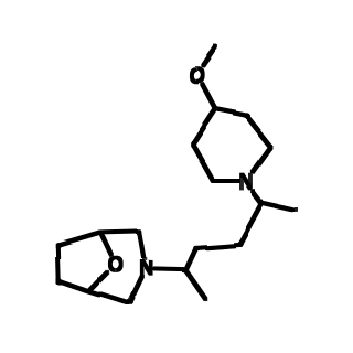 COC1CCN(C(C)CCC(C)N2CC3CCC(C2)O3)CC1